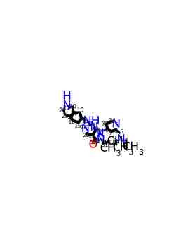 CCN(CC)Cc1cc(-n2c3nc(Nc4ccc5c(c4)CNCC5)ncc3c(=O)n2C(C)C)ccn1